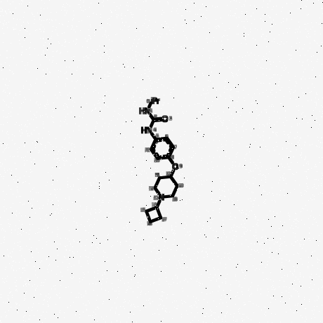 CC(C)NC(=O)Nc1ccc(OC2CCN(C3CCC3)CC2)cc1